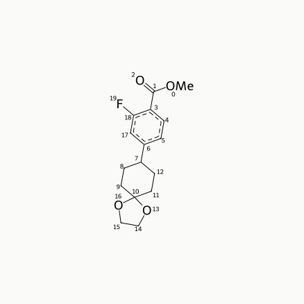 COC(=O)c1ccc(C2CCC3(CC2)OCCO3)cc1F